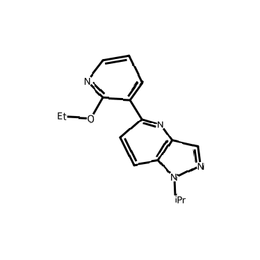 CCOc1ncccc1-c1ccc2c(cnn2C(C)C)n1